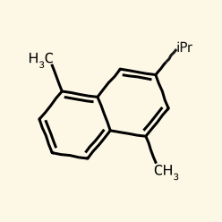 Cc1cc(C(C)C)cc2c(C)cccc12